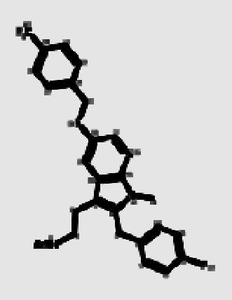 CC(=O)NCCc1c(Cc2ccc(F)cc2)n(C)c2ncc(SCc3ccc(C(F)(F)F)cc3)cc12